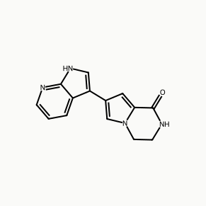 O=C1NCCn2cc(-c3c[nH]c4ncccc34)cc21